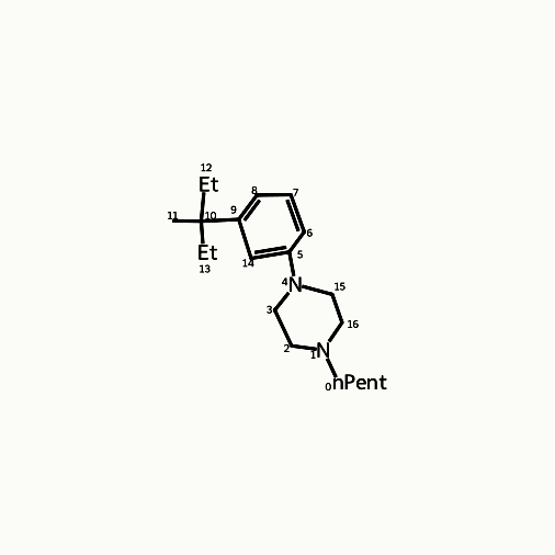 CCCCCN1CCN(c2cccc(C(C)(CC)CC)c2)CC1